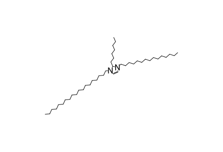 CCCCCCCCCCCCCCCCCCCN1C=CN(CCCCCCCCCCCCCCC)C1CCCCCCC